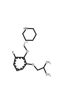 CC(C)COc1cccc(F)c1OC[C@H]1CCCNC1